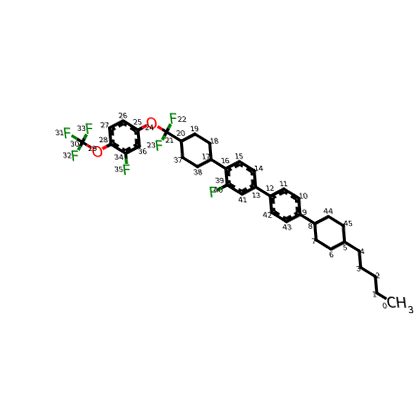 CCCCCC1CCC(c2ccc(-c3ccc(C4CCC(C(F)(F)Oc5ccc(OC(F)(F)F)c(F)c5)CC4)c(F)c3)cc2)CC1